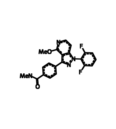 CNC(=O)c1ccc(-c2nn(-c3c(F)cccc3F)c3ccnc(OC)c23)cc1